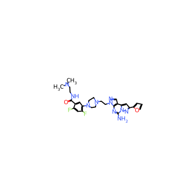 CN(C)CCNC(=O)c1cc(N2CCN(CCn3ncc4c3nc(N)n3nc(-c5ccco5)cc43)CC2)c(F)cc1F